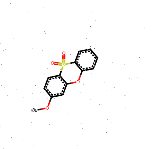 CCC(C)Oc1ccc2c(c1)Oc1ccccc1S2(=O)=O